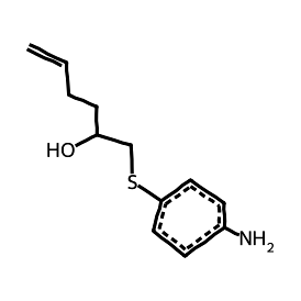 C=CCCC(O)CSc1ccc(N)cc1